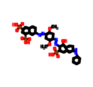 COc1cc(N=Nc2c(S(=O)(=O)O)cc3cc(Nc4ccccc4)ccc3c2O)c(OC)cc1N=Nc1ccc2cc(S(=O)(=O)O)cc(S(=O)(=O)O)c2c1